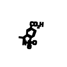 CC1=NS(=O)(=O)c2ccc(C(=O)O)cc21